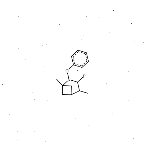 CC1C2CC(C)(C2)N(Oc2ccccc2)C1F